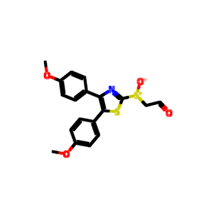 COc1ccc(-c2nc([S+]([O-])CC=O)sc2-c2ccc(OC)cc2)cc1